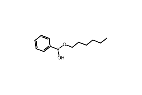 CCCCCCOB(O)c1ccccc1